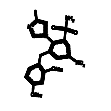 COc1ccc(Cc2cc([N+](=O)[O-])cc(S(N)(=O)=O)c2-n2cnc(C)c2)c(OC)c1